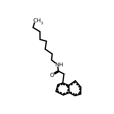 CCCCCCCCNC(=O)[CH]c1cccc2ccccc12